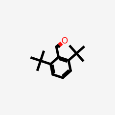 CC(C)(C)c1cccc(C(C)(C)C)c1C=O